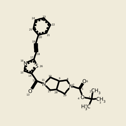 CC(C)(C)OC(=O)N1CC2CN(C(=O)c3cnc(C#Cc4ccccc4)s3)CC2C1